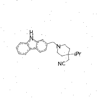 CC(C)C1(CC#N)CCN(Cc2ccc3c(c2)[nH]c2ccccc23)CC1